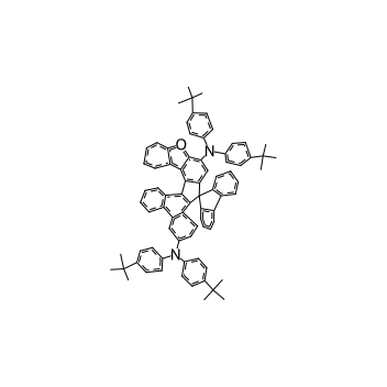 CC(C)(C)c1ccc(N(c2ccc(C(C)(C)C)cc2)c2ccc3c4c(c5ccccc5c3c2)-c2c(cc(N(c3ccc(C(C)(C)C)cc3)c3ccc(C(C)(C)C)cc3)c3oc5ccccc5c23)C42c3ccccc3-c3ccccc32)cc1